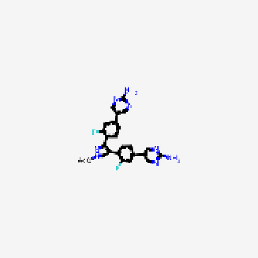 CC(=O)On1cc(-c2ccc(-c3cnc(N)nc3)cc2F)c(-c2ccc(-c3cnc(N)nc3)cc2F)n1